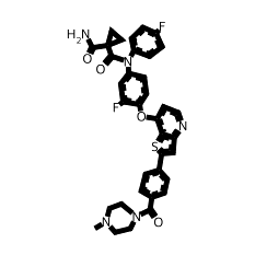 CN1CCN(C(=O)c2ccc(-c3cc4nccc(Oc5ccc(N(C(=O)C6(C(N)=O)CC6)c6ccc(F)cc6)cc5F)c4s3)cc2)CC1